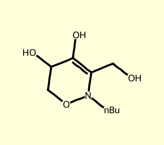 CCCCN1OCC(O)C(O)=C1CO